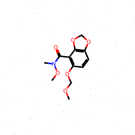 COCOc1ccc2c(c1C(=O)N(C)OC)OCO2